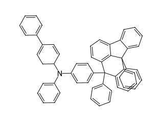 C1=CCC(C23c4ccccc4-c4cccc(c42)C(c2ccccc2)(c2ccc(N(c4ccccc4)C4C=CC(c5ccccc5)=CC4)cc2)c2ccccc23)C=C1